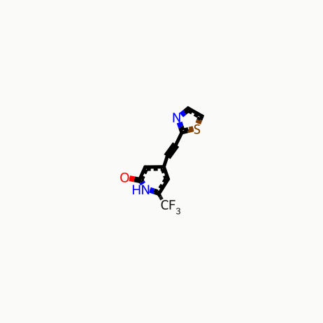 O=c1cc(C#Cc2nccs2)cc(C(F)(F)F)[nH]1